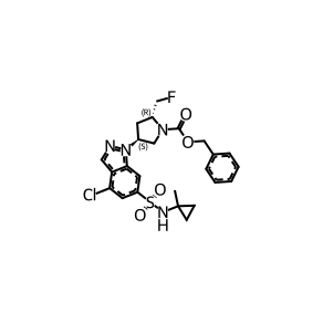 CC1(NS(=O)(=O)c2cc(Cl)c3cnn([C@H]4C[C@H](CF)N(C(=O)OCc5ccccc5)C4)c3c2)CC1